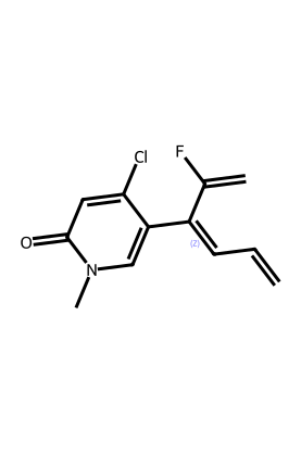 C=C/C=C(\C(=C)F)c1cn(C)c(=O)cc1Cl